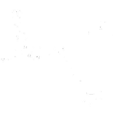 COc1ccc(-c2ccc(N(c3ccc(OC)cc3)c3ccc(-c4ccc(-n5c6ccc(-c7ccc(-c8ccc(-n9c%10ccccc%10c%10ccccc%109)cc8)cc7)cc6c6cc(-c7ccc(-c8ccc(-n9c%10ccccc%10c%10ccccc%109)cc8)cc7)ccc65)cc4)c4nsnc34)cc2)cc1